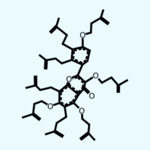 C=C(C)CCOc1ccc(-c2oc3c(CCC(=C)C)c(OCCC(=C)C)c(CCC(=C)C)c(OCCC(=C)C)c3c(=O)c2OCCC(=C)C)c(CCC(=C)C)c1CCC(=C)C